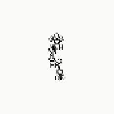 COc1cc(Nc2nccc(N3CCC[C@H](C(=O)NCc4ccc(S(C)(=O)=O)cc4)C3)n2)cc(OC)c1OC